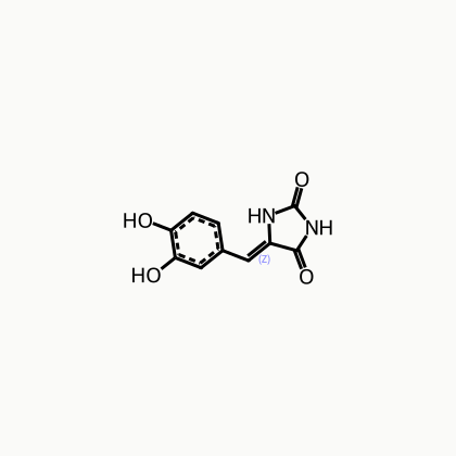 O=C1NC(=O)/C(=C/c2ccc(O)c(O)c2)N1